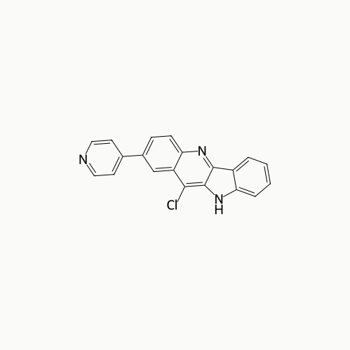 Clc1c2cc(-c3ccncc3)ccc2nc2c1[nH]c1ccccc12